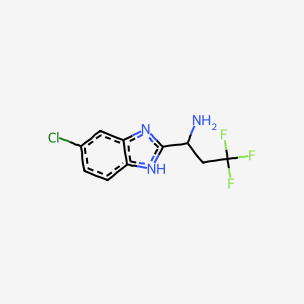 NC(CC(F)(F)F)c1nc2cc(Cl)ccc2[nH]1